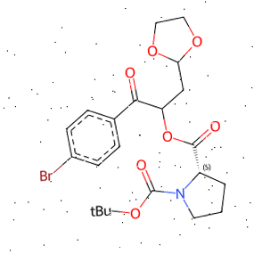 CC(C)(C)OC(=O)N1CCC[C@H]1C(=O)OC(CC1OCCO1)C(=O)c1ccc(Br)cc1